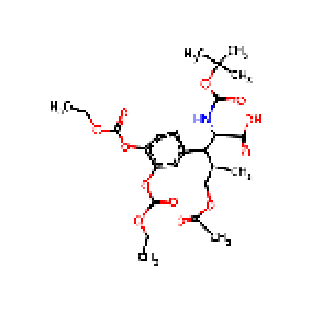 CCOC(=O)Oc1ccc(C(C(C)COC(C)=O)[C@H](NC(=O)OC(C)(C)C)C(=O)O)cc1OC(=O)OCC